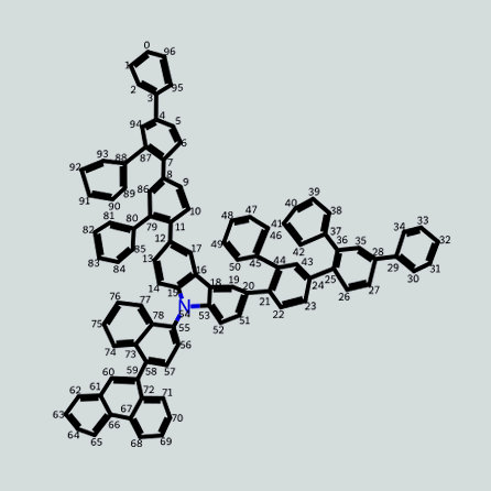 c1ccc(-c2ccc(-c3ccc(-c4ccc5c(c4)c4cc(-c6ccc(-c7ccc(-c8ccccc8)cc7-c7ccccc7)cc6-c6ccccc6)ccc4n5-c4ccc(-c5cc6ccccc6c6ccccc56)c5ccccc45)c(-c4ccccc4)c3)c(-c3ccccc3)c2)cc1